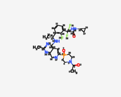 CC(=O)N1CCP(=O)(c2cc3c(N[C@H](C)c4cccc(C(F)(F)C(=O)NC5CC5)c4F)nc(C)nc3cn2)CC1